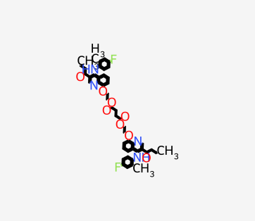 CCCC(=O)c1cnc2c(OCCOC(=O)CCC(=O)OCCOc3cccc4c(Nc5ccc(F)cc5C)c(C(=O)CCC)cnc34)cccc2c1Nc1ccc(F)cc1C